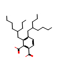 CCCCC(CCC)Cc1ccc(C(=O)O)c(C(=O)O)c1CC(CCC)CCCC